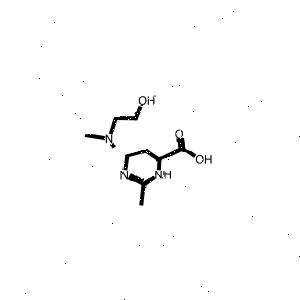 CC1=NCCC(C(=O)O)N1.CN(C)CCO